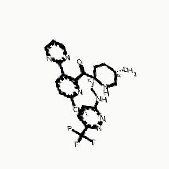 Cc1ccc(-c2ncccn2)c(C(=O)[C@@]2(CNc3ccc(C(F)(F)F)nn3)CC[C@H](C)CN2)n1